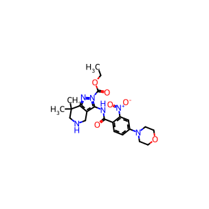 CCOC(=O)n1nc2c(c1NC(=O)c1ccc(N3CCOCC3)cc1[N+](=O)[O-])CNCC2(C)C